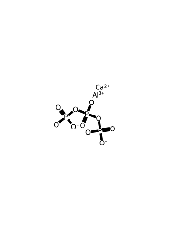 O=P([O-])([O-])OP(=O)([O-])OP(=O)([O-])[O-].[Al+3].[Ca+2]